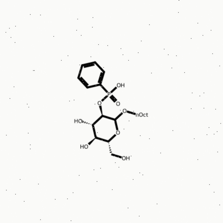 CCCCCCCCOC1O[C@H](CO)[C@@H](O)[C@H](O)[C@H]1OP(=O)(O)c1ccccc1